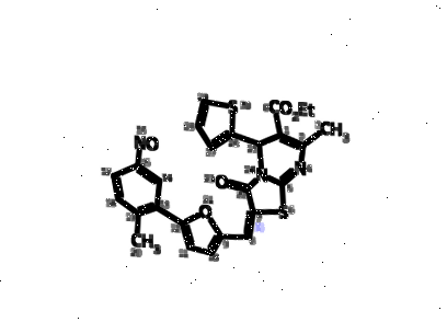 CCOC(=O)C1=C(C)N=c2s/c(=C/c3ccc(-c4cc(N=O)ccc4C)o3)c(=O)n2C1c1cccs1